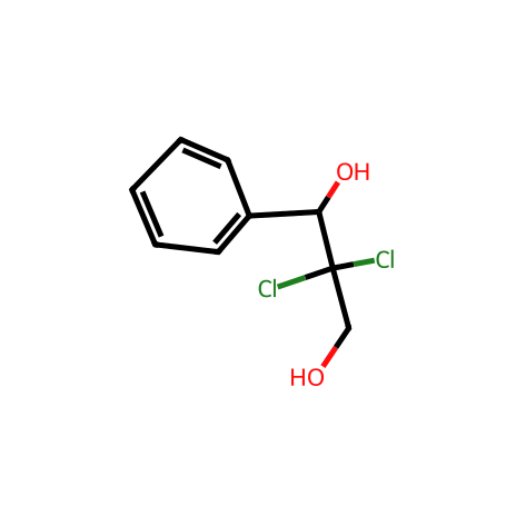 OCC(Cl)(Cl)C(O)c1ccccc1